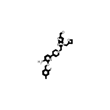 Cc1ccc(COc2nc(C3=CCN(Cc4nc5sc(C=O)cc5n4CC4CCO4)CC3)ccc2P)c(F)c1